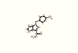 COc1ccc(Cn2nc(C(N)=O)c3scnc32)cc1